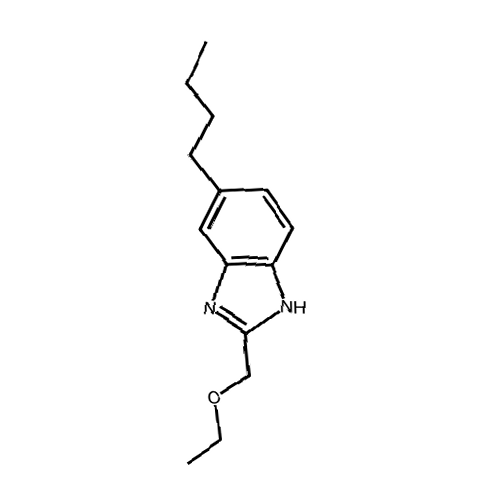 CCCCc1ccc2[nH]c(COCC)nc2c1